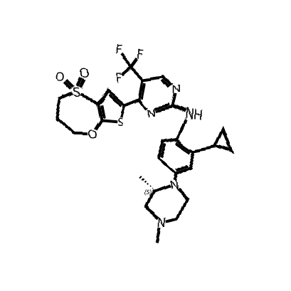 C[C@H]1CN(C)CCN1c1ccc(Nc2ncc(C(F)(F)F)c(-c3cc4c(s3)OCCCS4(=O)=O)n2)c(C2CC2)c1